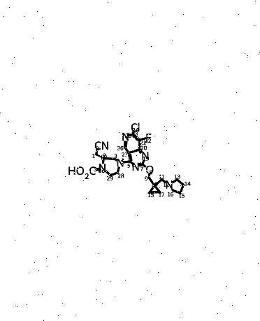 N#CC[C@H]1CN(c2nc(OCC3(CN4CCCC4)CC3)nc3c(F)c(Cl)ncc23)CCN1C(=O)O